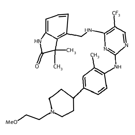 COCCN1CCC(c2ccc(Nc3ncc(C(F)(F)F)c(NCc4cccc5c4C(C)(C)C(=O)N5)n3)c(C)c2)CC1